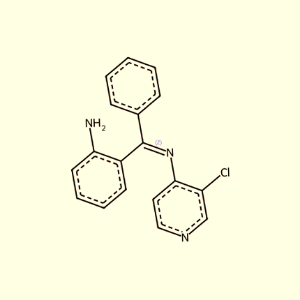 Nc1ccccc1/C(=N\c1ccncc1Cl)c1ccccc1